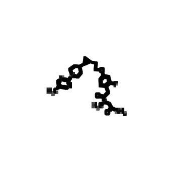 Cc1cnc(N2CCC([C@H]3C[C@H]3CCOc3ccc(CC(=O)N(C)CC(N)=O)c(F)c3)CC2)nc1